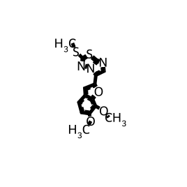 COc1ccc2cc(-c3cnc4sc(SC)nn34)oc2c1OC